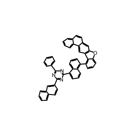 c1ccc(-c2nc(-c3ccc4ccccc4c3)nc(-c3cccc4c(-c5cccc6oc7cc8ccc9ccccc9c8cc7c56)cccc34)n2)cc1